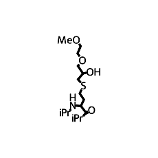 COCCOCC(O)CSCCC(NC(C)C)C(=O)C(C)C